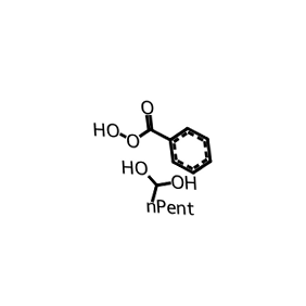 CCCCCC(O)O.O=C(OO)c1ccccc1